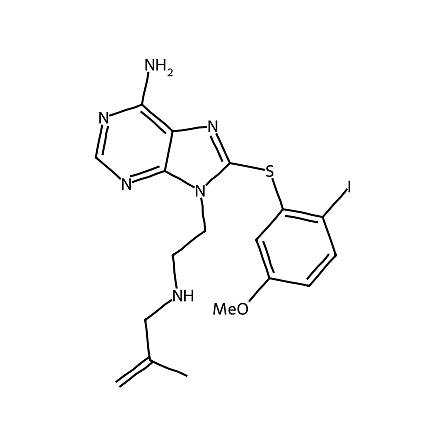 C=C(C)CNCCn1c(Sc2cc(OC)ccc2I)nc2c(N)ncnc21